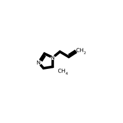 C.C=CCN1C=NCC1